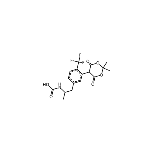 CC(Cc1ccc(C(F)(F)F)c(C2C(=O)OC(C)(C)OC2=O)c1)NC(=O)O